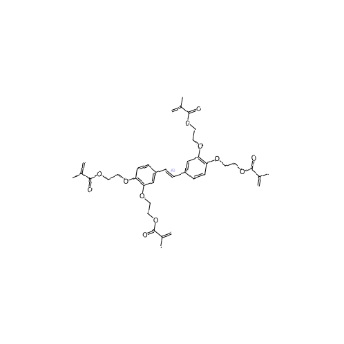 C=C(C)C(=O)OCCOc1ccc(/C=C/c2ccc(OCCOC(=O)C(=C)C)c(OCCOC(=O)C(=C)C)c2)cc1OCCOC(=O)C(=C)C